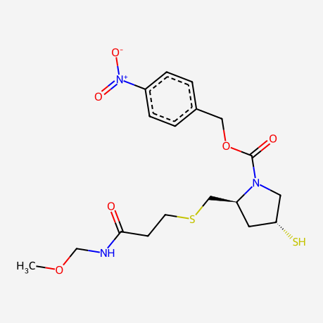 COCNC(=O)CCSC[C@@H]1C[C@@H](S)CN1C(=O)OCc1ccc([N+](=O)[O-])cc1